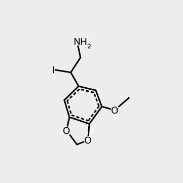 COc1cc(C(I)CN)cc2c1OCO2